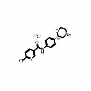 Cl.O=C(Nc1ccc([C@H]2CNCCO2)cc1)c1ccc(Cl)nc1